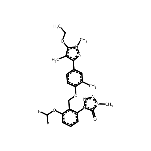 CCOc1c(C)c(-c2ccc(OCc3c(OC(F)F)cccc3-n3nnn(C)c3=O)c(C)c2)nn1C